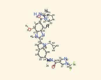 COc1cc(C(=O)N2[C@H]3CC[C@@H]2[C@H](N)C3)cc2nc(-c3cc4ccc([C@@H](C)NC(=O)c5cnn(C(F)F)c5)cc4n3CC3CC3)n(C)c12